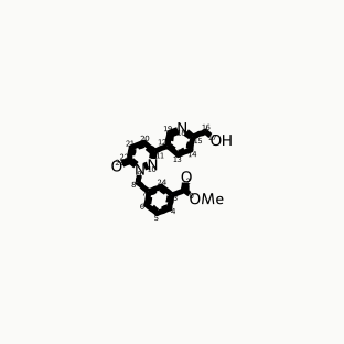 COC(=O)c1cccc(Cn2nc(-c3ccc(CO)nc3)ccc2=O)c1